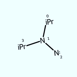 CC(C)N([N])C(C)C